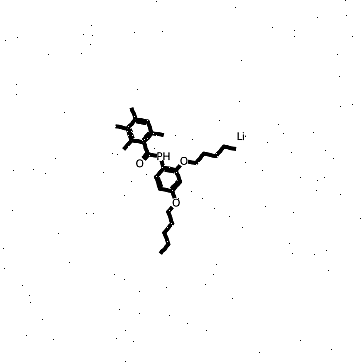 CCCCCOc1ccc(PC(=O)c2c(C)cc(C)c(C)c2C)c(OCCCCC)c1.[Li]